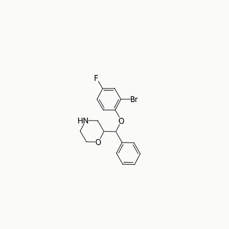 Fc1ccc(OC(c2ccccc2)C2CNCCO2)c(Br)c1